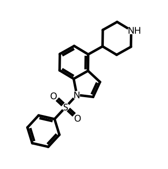 O=S(=O)(c1ccccc1)n1ccc2c(C3CCNCC3)cccc21